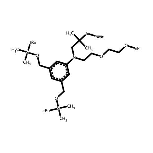 CCCOCCOCCN(CC(C)(C)SSC)c1cc(CO[Si](C)(C)C(C)(C)C)cc(CO[Si](C)(C)C(C)(C)C)c1